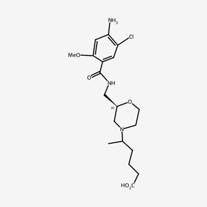 COc1cc(N)c(Cl)cc1C(=O)NC[C@@H]1CN(C(C)CCCC(=O)O)CCO1